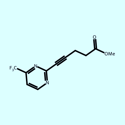 COC(=O)CCC#Cc1nccc(C(F)(F)F)n1